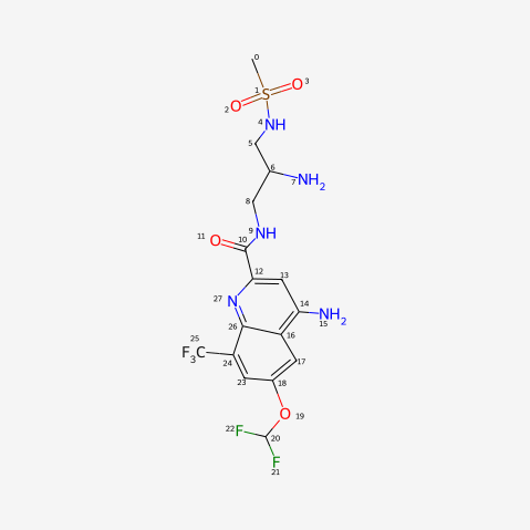 CS(=O)(=O)NCC(N)CNC(=O)c1cc(N)c2cc(OC(F)F)cc(C(F)(F)F)c2n1